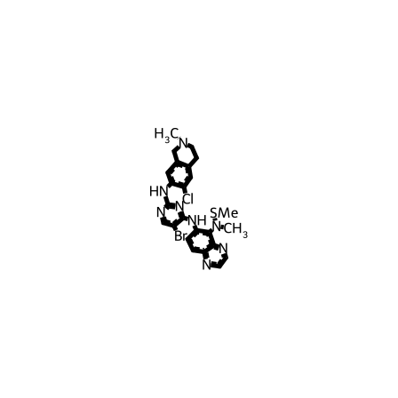 CSN(C)c1c(Nc2nc(Nc3cc4c(cc3Cl)CCN(C)C4)ncc2Br)ccc2nccnc12